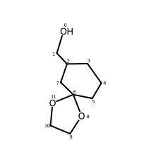 OCC1CCCC2(C1)OCCO2